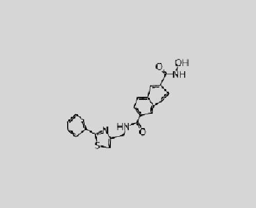 O=C(NO)c1ccc2cc(C(=O)NCc3csc(-c4ccccc4)n3)ccc2c1